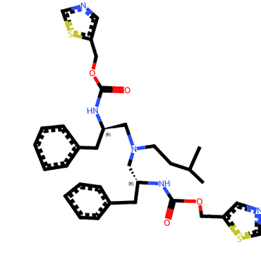 CC(C)CCN(C[C@@H](Cc1ccccc1)NC(=O)OCc1cncs1)C[C@@H](Cc1ccccc1)NC(=O)OCc1cncs1